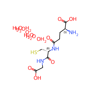 N[C@@H](CCC(=O)N[C@@H](CS)C(=O)NCC(=O)O)C(=O)O.O.O.O.O.O.O